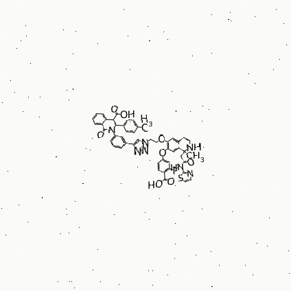 Cc1ccc(C2C(C(=O)O)c3ccccc3C(=O)N2c2cccc(-c3cn(CCOc4cc5c(cc4Oc4ccc(C(=O)O)c(F)c4)C(C)(CC(=O)Nc4nccs4)NCC5)nn3)c2)cc1